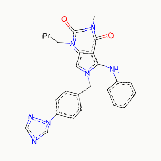 CC(C)Cn1c(=O)n(C)c(=O)c2c(Nc3ccccc3)n(Cc3ccc(-n4cncn4)cc3)cc21